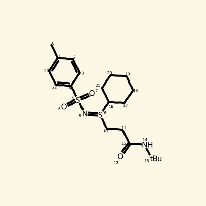 Cc1ccc(S(=O)(=O)N=S(CCC(=O)NC(C)(C)C)C2CCCCC2)cc1